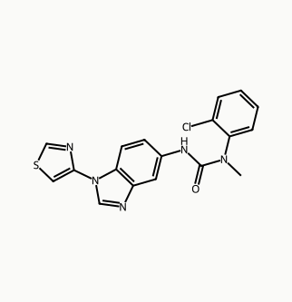 CN(C(=O)Nc1ccc2c(c1)ncn2-c1cscn1)c1ccccc1Cl